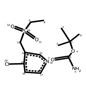 CC(C)(C)OC(N)=O.CCS(=O)(=O)Cc1cnccc1Cl